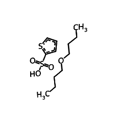 CCCCOCCCC.O=S(=O)(O)c1cccs1